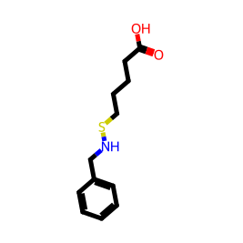 O=C(O)CCCCSNCc1ccccc1